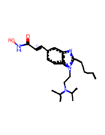 CCCCc1nc2cc(/C=C/C(=O)NO)ccc2n1CCN(C(C)C)C(C)C